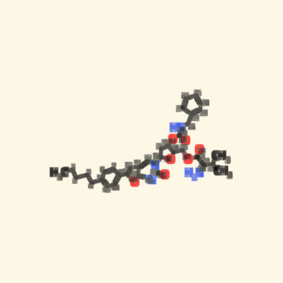 CCCCCc1ccc(-c2cc3cn(C4CC(OC(=O)NCc5ccccc5)C(COC(=O)[C@@H](N)C(C)C)O4)c(=O)nc3o2)cc1